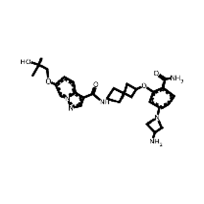 CC(C)(O)COc1ccc2c(C(=O)NC3CC4(C3)CC(Oc3cc(N5CC(N)C5)ccc3C(N)=O)C4)cnn2c1